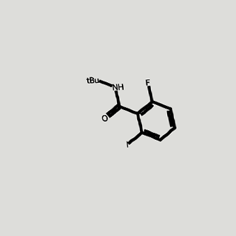 CC(C)(C)NC(=O)c1c(F)cccc1I